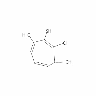 CC1=CC=C[C@@H](C)C(Cl)=C1S